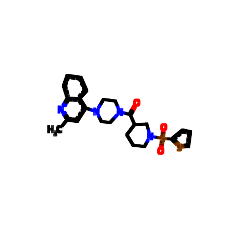 Cc1cc(N2CCN(C(=O)C3CCCN(S(=O)(=O)c4cccs4)C3)CC2)c2ccccc2n1